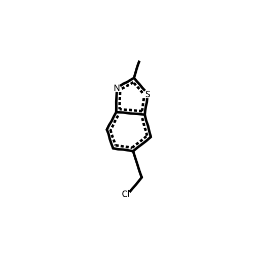 Cc1nc2ccc(CCl)cc2s1